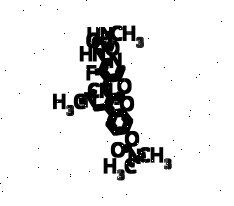 CNS(=O)(=O)Nc1nccc(Cc2c(CN(C)C)c3ccc(OC(=O)N(C)C)cc3oc2=O)c1F